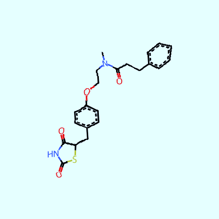 CN(CCOc1ccc(CC2SC(=O)NC2=O)cc1)C(=O)CCc1ccccc1